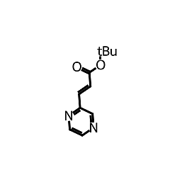 CC(C)(C)OC(=O)/C=C/c1cnccn1